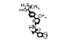 Cc1ccc(NC(=O)C2(c3ccc4c(c3)OCO4)CC2)nc1-c1ccc(C(O)N(C)C)cc1